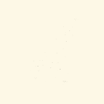 COC(=O)C(F)(F)C(F)(F)OCC(F)(COC(F)(F)C(F)(F)C(=O)OC)OC(F)(F)C(F)(F)C(=O)OC